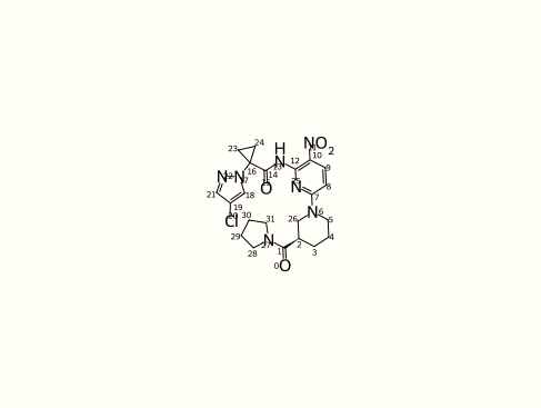 O=C([C@@H]1CCCN(c2ccc([N+](=O)[O-])c(NC(=O)C3(n4cc(Cl)cn4)CC3)n2)C1)N1CCCC1